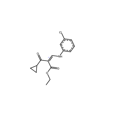 CCOC(=O)/C(=C\Nc1cccc(Cl)c1)C(=O)C1CC1